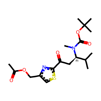 CC(=O)OCc1csc(C(=O)C[C@H](C(C)C)N(C)C(=O)OC(C)(C)C)n1